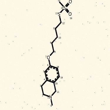 CN1CCc2cc(OCCCCCSS(C)(=O)=O)ccc2C1